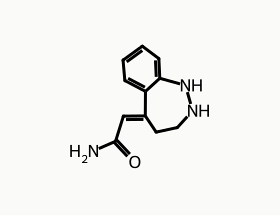 NC(=O)C=C1CCNNc2ccccc21